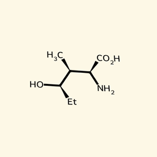 CC[C@@H](O)[C@@H](C)[C@H](N)C(=O)O